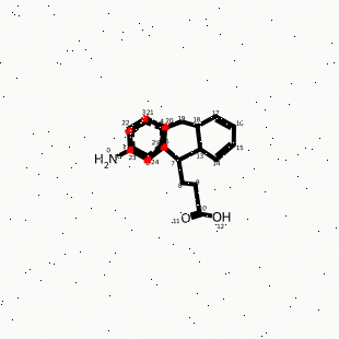 Nc1ccc2c(c1)C1(CCC(=O)O)C3C=CC=CC3C2C2C=CC=CC21